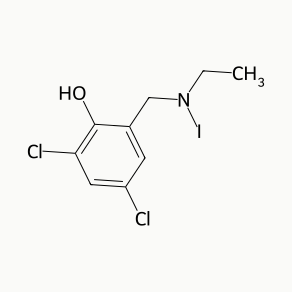 CCN(I)Cc1cc(Cl)cc(Cl)c1O